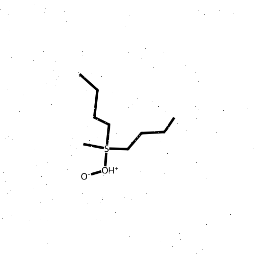 CCCCS(C)(CCCC)[OH+][O-]